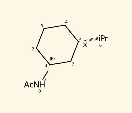 CC(=O)N[C@@H]1CCC[C@H](C(C)C)C1